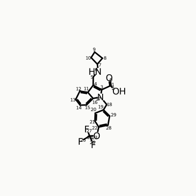 O=C(O)c1c(CNC2CCC2)c2ccccc2n1Cc1ccc(OC(F)(F)F)cc1